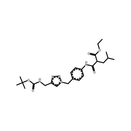 CCOC(=O)C(CC(C)C)C(=O)Nc1ccc(Cn2cc(CNC(=O)OC(C)(C)C)nn2)cc1